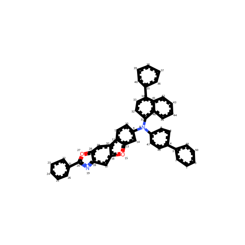 c1ccc(-c2ccc(N(c3ccc4c(c3)oc3cc5nc(-c6ccccc6)oc5cc34)c3ccc(-c4ccccc4)c4ccccc34)cc2)cc1